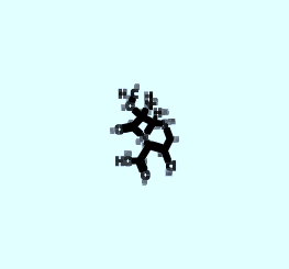 COC1(N)C(=O)N2C(C(=O)O)=C(Cl)CS[C@@H]21